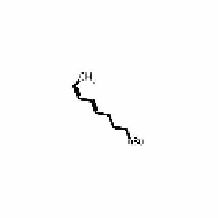 [CH2]CCCCCC/C=C/C=C\C